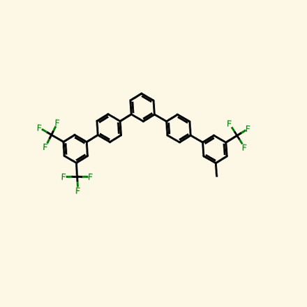 Cc1cc(-c2ccc(-c3cccc(-c4ccc(-c5cc(C(F)(F)F)cc(C(F)(F)F)c5)cc4)c3)cc2)cc(C(F)(F)F)c1